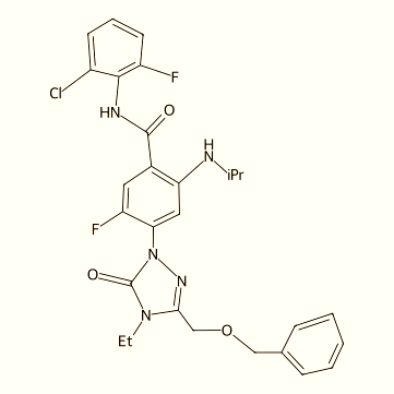 CCn1c(COCc2ccccc2)nn(-c2cc(NC(C)C)c(C(=O)Nc3c(F)cccc3Cl)cc2F)c1=O